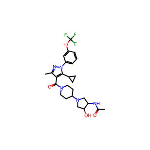 CC(=O)NC1CN(C2CCN(C(=O)c3c(C)nn(-c4cccc(OC(F)(F)F)c4)c3C3CC3)CC2)CC1O